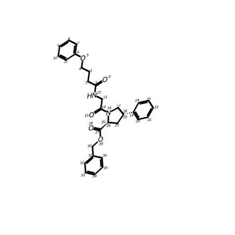 O=C(CCCOc1ccccc1)NCC(=O)N1C[C@H](c2ccccc2)C[C@H]1C(=O)OCc1ccccc1